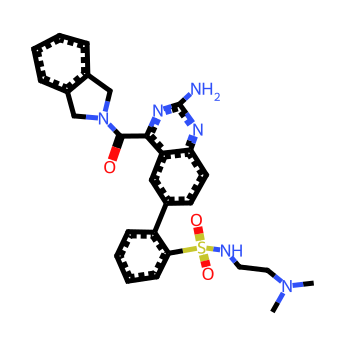 CN(C)CCNS(=O)(=O)c1ccccc1-c1ccc2nc(N)nc(C(=O)N3Cc4ccccc4C3)c2c1